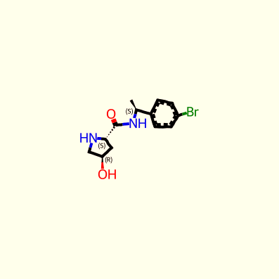 C[C@H](NC(=O)[C@@H]1C[C@@H](O)CN1)c1ccc(Br)cc1